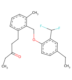 CCC(=O)CCc1cccc(C)c1COc1ccc(CC)cc1C(F)F